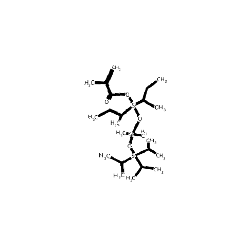 C=C(C)C(=O)O[Si](O[Si](C)(C)O[Si](C(C)C)(C(C)C)C(C)C)(C(C)CC)C(C)CC